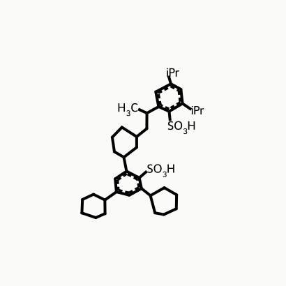 CC(C)c1cc(C(C)C)c(S(=O)(=O)O)c(C(C)CC2CCCC(c3cc(C4CCCCC4)cc(C4CCCCC4)c3S(=O)(=O)O)C2)c1